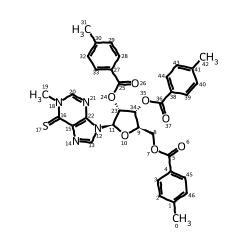 Cc1ccc(C(=O)OC[C@H]2O[C@@H](n3cnc4c(=S)n(C)cnc43)[C@H](OC(=O)c3ccc(C)cc3)[C@@H]2OC(=O)c2ccc(C)cc2)cc1